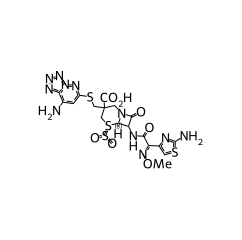 CON=C(C(=O)NC1C(=O)N2CC(CSc3cc(N)c4nnnn4n3)(C(=O)O)CS(=S(=O)=O)[C@H]12)c1csc(N)n1